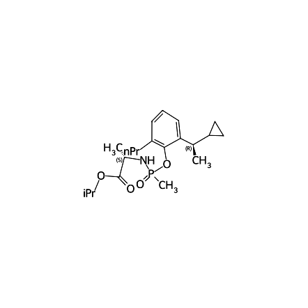 CCCc1cccc([C@H](C)C2CC2)c1OP(C)(=O)N[C@@H](C)C(=O)OC(C)C